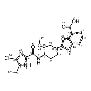 CCc1[nH]c(C(=O)N[C@@H]2CCN(c3nc4cccc(C(=O)O)c4o3)CC2OC)nc1Cl